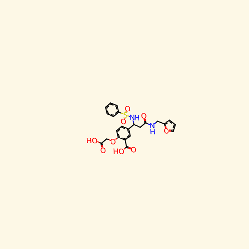 O=C(O)COc1ccc(C(CC(=O)NCc2ccco2)NS(=O)(=O)c2ccccc2)cc1C(=O)O